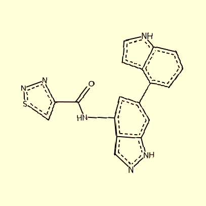 O=C(Nc1cc(-c2cccc3[nH]ccc23)cc2[nH]ncc12)c1csnn1